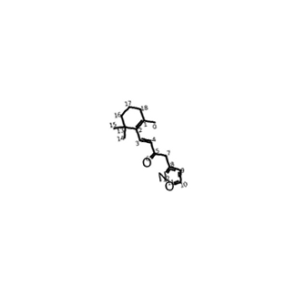 CC1=C(/C=C/C(=O)Cc2ccon2)C(C)(C)CCC1